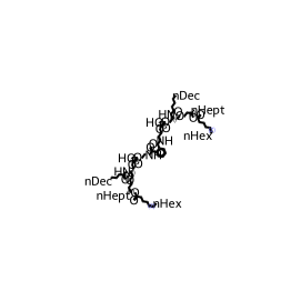 CCCCCC/C=C\CCCC(=O)O[C@H](CCCCCCC)CCOC[C@H](COP(=O)(O)OCCNC(=O)c1ccccc1C(=O)NCCOP(=O)(O)OC[C@@H](COCC[C@@H](CCCCCCC)OC(=O)CCC/C=C\CCCCCC)NC(=O)CCCCCCCCCCCCC)NC(=O)CCCCCCCCCCCCC